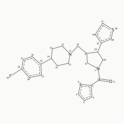 O=C(c1cccs1)N1CC(CN2CCC(c3ccc(F)cc3)CC2)C(c2ccsc2)C1